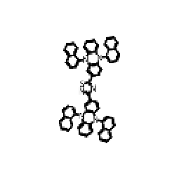 c1ccc2c(c1)N(c1cccc3ccccc13)c1ccc(-c3nsc(-c4ccc5c(c4)N(c4cccc6ccccc46)c4ccccc4N5c4cccc5ccccc45)n3)cc1N2c1cccc2ccccc12